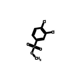 COS(=O)(=O)c1ccc(Cl)c(Cl)c1